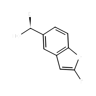 CC[C@H](O)c1ccc2oc(F)cc2c1